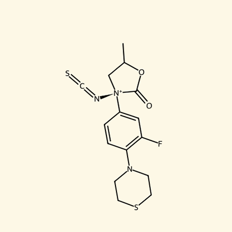 CC1C[N@@+](N=C=S)(c2ccc(N3CCSCC3)c(F)c2)C(=O)O1